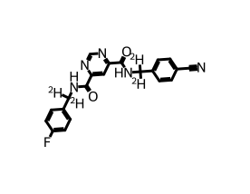 [2H]C([2H])(NC(=O)c1cc(C(=O)NC([2H])([2H])c2ccc(C#N)cc2)ncn1)c1ccc(F)cc1